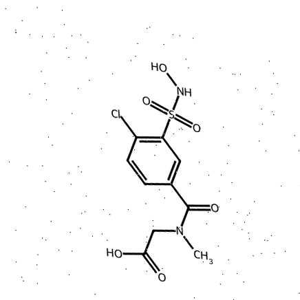 CN(CC(=O)O)C(=O)c1ccc(Cl)c(S(=O)(=O)NO)c1